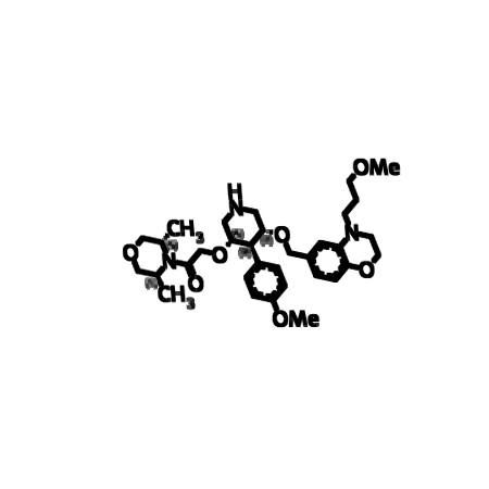 COCCCN1CCOc2ccc(CO[C@H]3CNC[C@@H](OCC(=O)N4[C@@H](C)COC[C@@H]4C)[C@@H]3c3ccc(OC)cc3)cc21